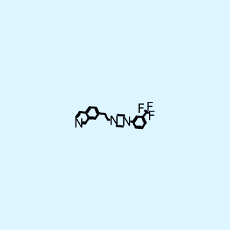 FC(F)(F)c1cccc(N2CCN(CCc3ccc4ccncc4c3)CC2)c1